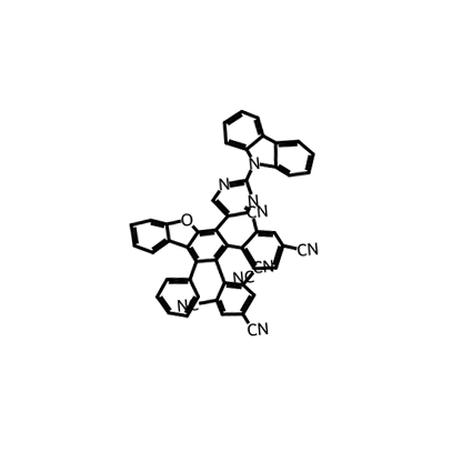 N#Cc1cc(C#N)c(-c2c(-c3c(C#N)cc(C#N)cc3C#N)c(-c3ccccc3)c3c(oc4ccccc43)c2-c2cnc(-n3c4ccccc4c4ccccc43)nc2)c(C#N)c1